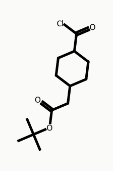 CC(C)(C)OC(=O)CC1CCC(C(=O)Cl)CC1